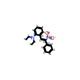 CCN(CC)c1ccccc1C=C(c1ccccc1)[N+](=O)[O-]